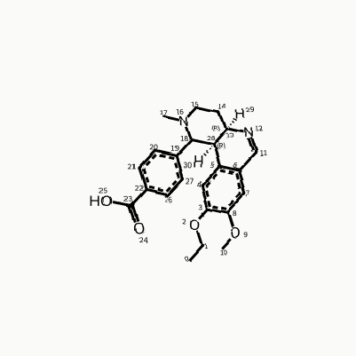 CCOc1cc2c(cc1OC)C=N[C@@H]1CCN(C)C(c3ccc(C(=O)O)cc3)[C@H]21